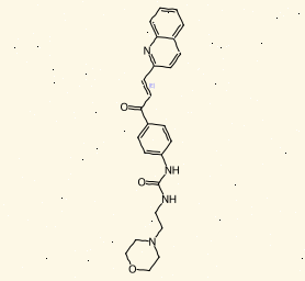 O=C(NCCN1CCOCC1)Nc1ccc(C(=O)/C=C/c2ccc3ccccc3n2)cc1